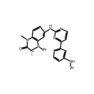 CC(C)Nc1cccc(-c2ccnc(Nc3ccc4c(c3)N(C(C)C)[C@H](C)C(=O)N4C)n2)c1